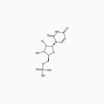 O=c1ccn([C@H]2O[C@@H](COP(=O)(O)O)C(O)C2Cl)c(=O)[nH]1